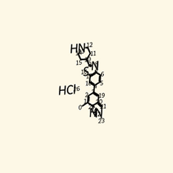 Cc1cc(-c2ccc3nc(C4CCNCC4)sc3c2)cc2cn(C)nc12.Cl